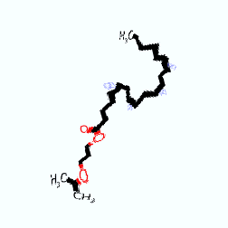 CCCCC/C=C\C/C=C\C/C=C\C/C=C\CCCC(=O)OCCCOC(C)C